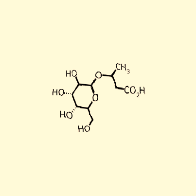 CC(CC(=O)O)OC1OC(CO)[C@H](O)[C@H](O)C1O